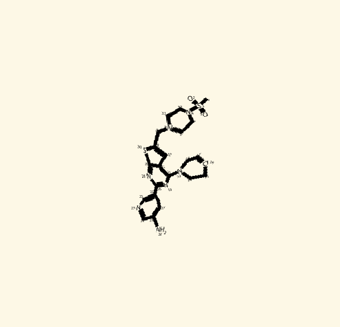 CS(=O)(=O)N1CCN(Cc2cc3c(N4CCOCC4)nc(-c4cncc(N)c4)nc3s2)CC1